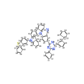 N#Cc1cc(-c2nc(-c3ccccc3)nc(-c3cccc(-c4ccccc4)c3)n2)ccc1-n1c2ccccc2c2ccc3c(c4ccccc4n3-c3ccc4sc5ccccc5c4c3)c21